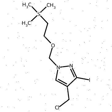 CS(C)(C)CCOCn1cc(CCl)c(I)n1